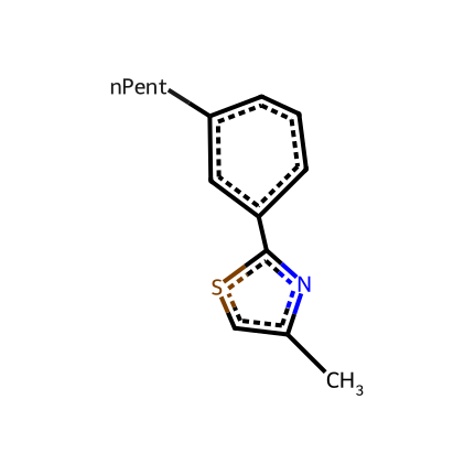 CCCCCc1cccc(-c2nc(C)cs2)c1